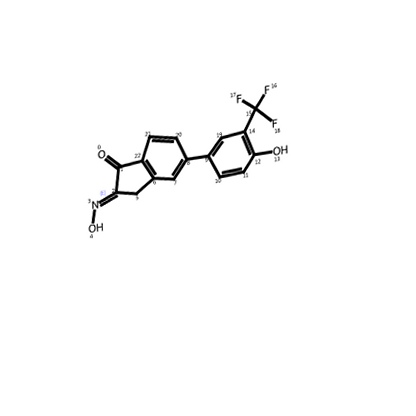 O=C1/C(=N/O)Cc2cc(-c3ccc(O)c(C(F)(F)F)c3)ccc21